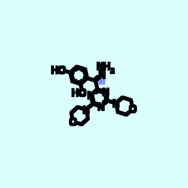 N/N=C(/c1nc(N2CCOCC2)nc(N2CCOCC2)n1)c1ccc(O)cc1O